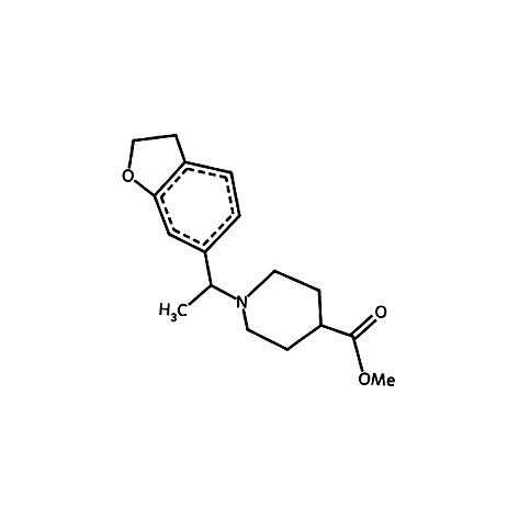 COC(=O)C1CCN(C(C)c2ccc3c(c2)OCC3)CC1